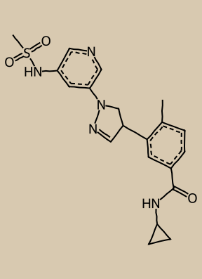 Cc1ccc(C(=O)NC2CC2)cc1C1C=NN(c2cncc(NS(C)(=O)=O)c2)C1